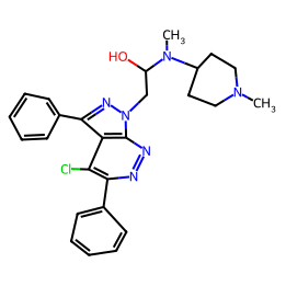 CN1CCC(N(C)C(O)Cn2nc(-c3ccccc3)c3c(Cl)c(-c4ccccc4)nnc32)CC1